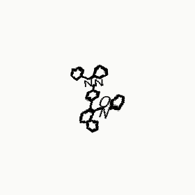 c1ccc(-c2nc(-c3ccc(-c4ccc5ccccc5c4-c4nc5ccccc5o4)cc3)nc3ccccc23)cc1